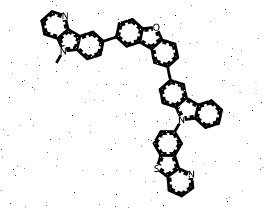 Cn1c2ccc(-c3ccc4oc5ccc(-c6ccc7c(c6)c6ccccc6n7-c6ccc7sc8cccnc8c7c6)cc5c4c3)cc2c2ncccc21